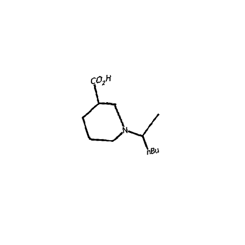 CCCCC(C)N1CCCC(C(=O)O)C1